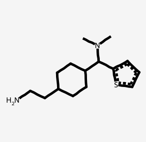 CN(C)C(c1cccs1)C1CCC(CCN)CC1